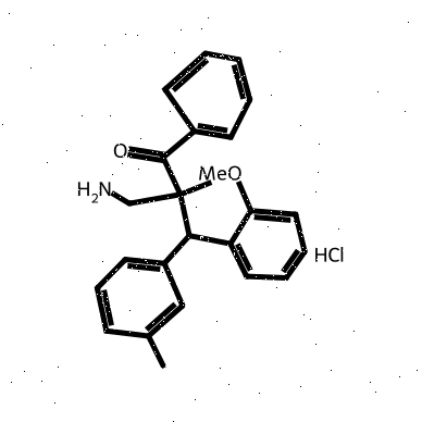 COc1ccccc1C(c1cccc(C)c1)C(C)(CN)C(=O)c1ccccc1.Cl